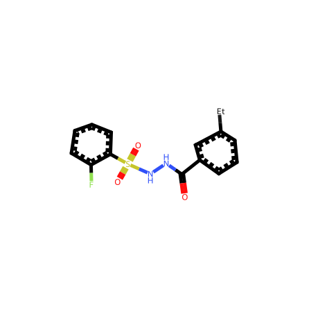 CCc1cccc(C(=O)NNS(=O)(=O)c2ccccc2F)c1